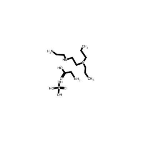 CCCN(CCC)CCNCCN.NCC(=O)O.O=P(O)(O)O